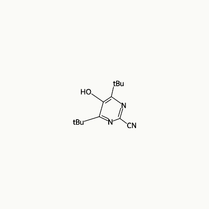 CC(C)(C)c1nc(C#N)nc(C(C)(C)C)c1O